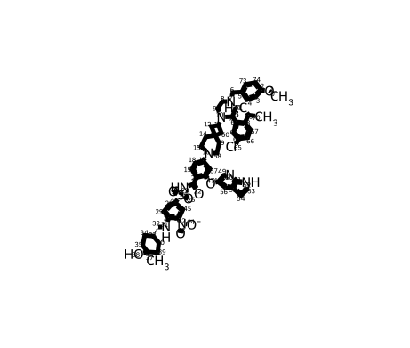 COc1ccc(CN2CCN(C3CC4(CCN(c5ccc(C(=O)NS(=O)(=O)c6ccc(NC[C@H]7CC[C@](C)(O)CC7)c([N+](=O)[O-])c6)c(Oc6cnc7[nH]ccc7c6)c5)CC4)C3)C(c3cc(Cl)ccc3C(C)C)C2)cc1